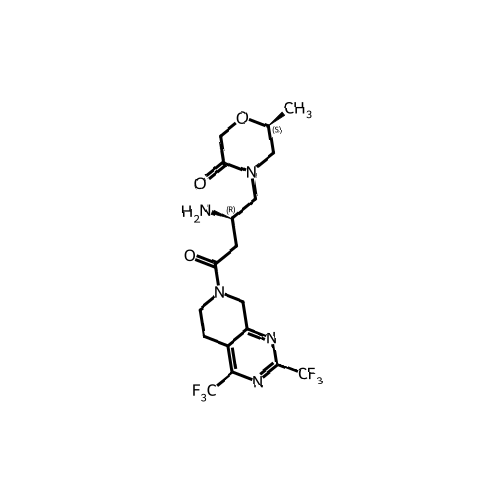 C[C@H]1CN(C[C@H](N)CC(=O)N2CCc3c(nc(C(F)(F)F)nc3C(F)(F)F)C2)C(=O)CO1